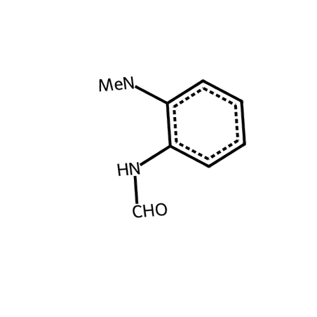 CNc1ccccc1NC=O